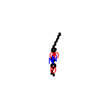 C=CCCCCCCCc1ccc(C(=O)Oc2cnc(-c3ccc(OCC(C)CC)cc3)cn2)cc1